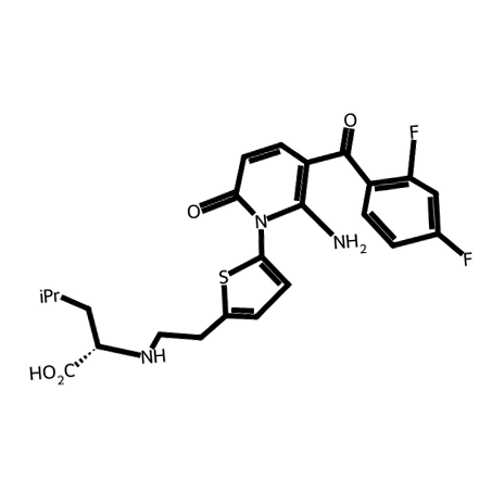 CC(C)C[C@H](NCCc1ccc(-n2c(N)c(C(=O)c3ccc(F)cc3F)ccc2=O)s1)C(=O)O